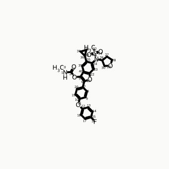 CNC(=O)Oc1c(-c2ccc(Oc3ccc(F)cc3)cc2)oc2cc(N(C3CCOC3)S(C)(=O)=O)c(C3CC3)cc12